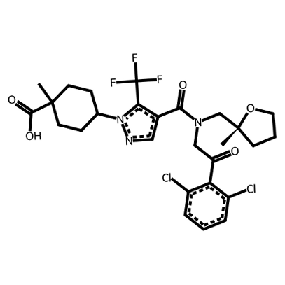 CC1(C(=O)O)CCC(n2ncc(C(=O)N(CC(=O)c3c(Cl)cccc3Cl)C[C@@]3(C)CCCO3)c2C(F)(F)F)CC1